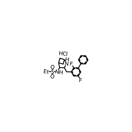 CCS(=O)(=O)NC1C2CC(C2)NC1Cc1cc(F)cc(-c2ccccc2)c1F.Cl